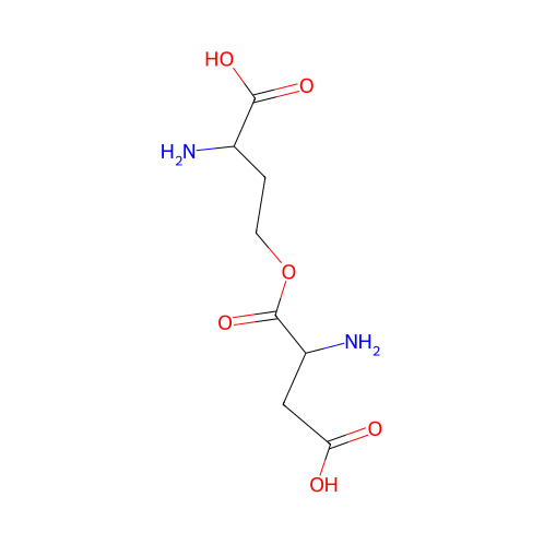 NC(CCOC(=O)C(N)CC(=O)O)C(=O)O